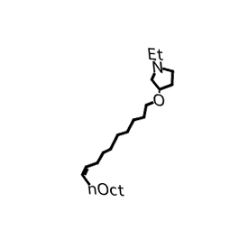 CCCCCCCC/C=C\CCCCCCCCO[C@H]1CCN(CC)C1